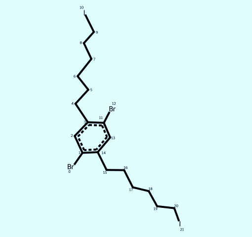 Brc1cc(CCCCCCI)c(Br)cc1CCCCCCI